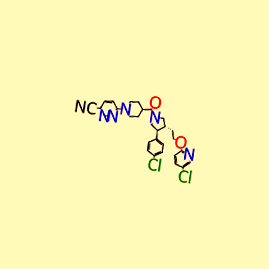 N#Cc1ccc(N2CCC(C(=O)N3C[C@H](CCOc4ccc(Cl)cn4)[C@@H](c4ccc(Cl)cc4)C3)CC2)nn1